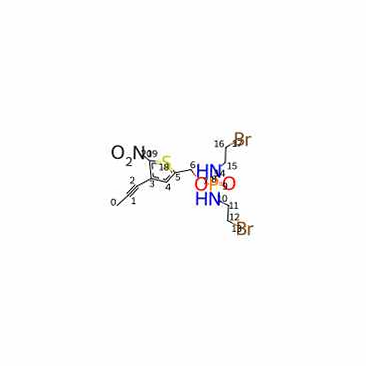 CC#Cc1cc(COP(=O)(NCCBr)NCCBr)sc1[N+](=O)[O-]